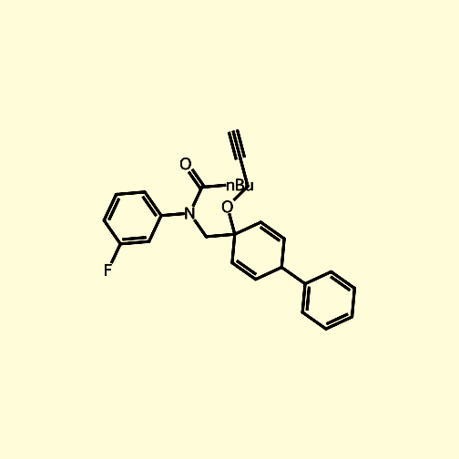 C#CCOC1(CN(C(=O)CCCC)c2cccc(F)c2)C=CC(c2ccccc2)C=C1